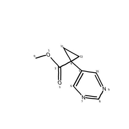 COC(=O)C1(c2cncnc2)CC1